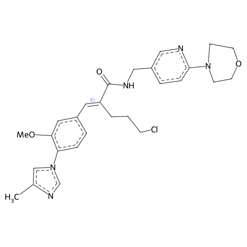 COc1cc(/C=C(\CCCCl)C(=O)NCc2ccc(N3CCOCC3)nc2)ccc1-n1cnc(C)c1